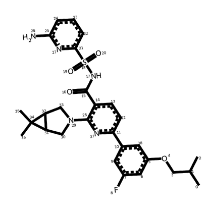 CC(C)COc1cc(F)cc(-c2ccc(C(=O)NS(=O)(=O)c3cccc(N)n3)c(N3CC4C(C3)C4(C)C)n2)c1